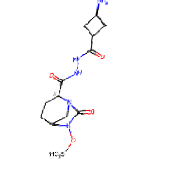 NC1CC(C(=O)NNC(=O)[C@@H]2CCC3CN2C(=O)N3OS(=O)(=O)O)C1